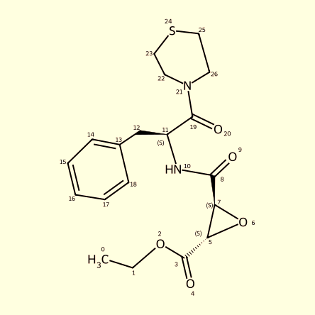 CCOC(=O)[C@H]1O[C@@H]1C(=O)N[C@@H](Cc1ccccc1)C(=O)N1CCSCC1